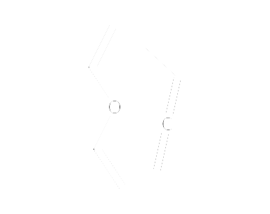 C=C=CC.C=COC=C